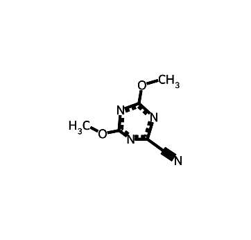 COc1nc(C#N)nc(OC)n1